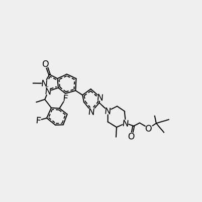 CC1CN(c2ncc(-c3ccc4c(=O)n(C)n(C(C)c5c(F)cccc5F)c4c3)cn2)CCN1C(=O)COC(C)(C)C